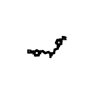 CCN1C=CN(CCCN(C)CCCN2C=CN(CC)C2)C1